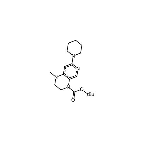 CN1CCN(C(=O)OC(C)(C)C)c2cnc(N3CCCCC3)cc21